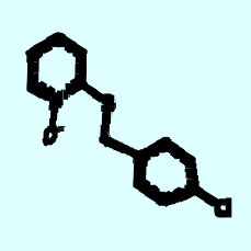 [O-][n+]1ccccc1SCc1ccc(Cl)cc1